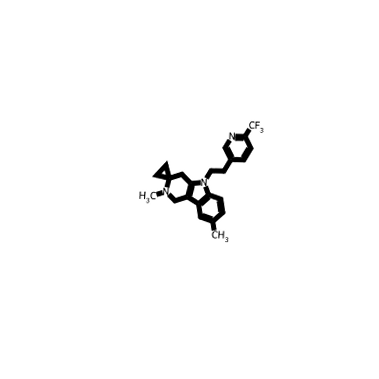 Cc1ccc2c(c1)c1c(n2CCc2ccc(C(F)(F)F)nc2)CC2(CC2)N(C)C1